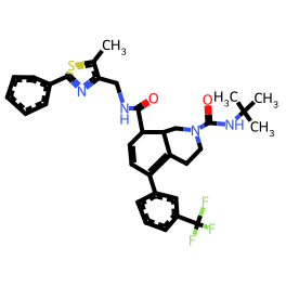 Cc1sc(-c2ccccc2)nc1CNC(=O)C1C=CC(c2cccc(C(F)(F)F)c2)=C2CCN(C(=O)NC(C)(C)C)CC21